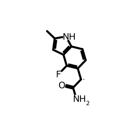 Cc1cc2c(F)c([CH]C(N)=O)ccc2[nH]1